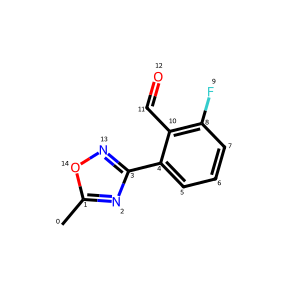 Cc1nc(-c2cccc(F)c2C=O)no1